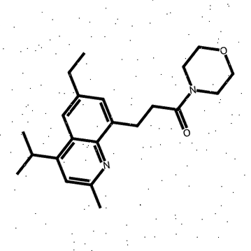 CCc1cc(CCC(=O)N2CCOCC2)c2nc(C)cc(C(C)C)c2c1